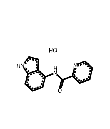 Cl.O=C(Nc1cccc2[nH]ccc12)c1ccccn1